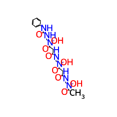 CC(=O)N(O)CNC(=O)CC(=O)N(O)CNC(=O)CC(=O)N(O)CNC(=O)Nc1ccccc1